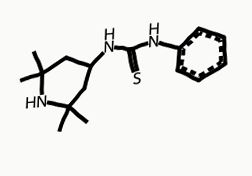 CC1(C)CC(NC(=S)Nc2ccccc2)CC(C)(C)N1